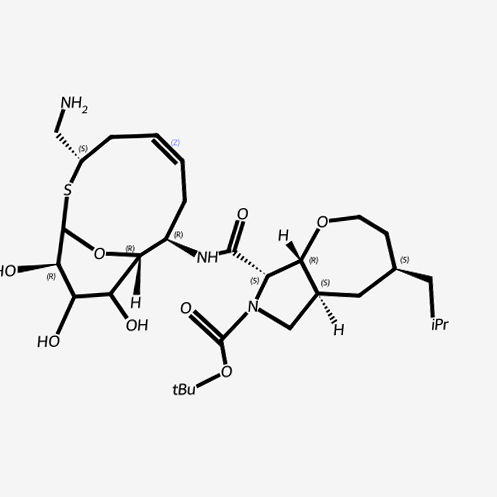 CC(C)C[C@@H]1CCO[C@@H]2[C@@H](C1)CN(C(=O)OC(C)(C)C)[C@@H]2C(=O)N[C@@H]1C/C=C\C[C@@H](CN)SC2O[C@H]1C(O)C(O)[C@H]2O